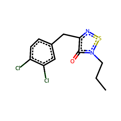 CCCn1snc(Cc2ccc(Cl)c(Cl)c2)c1=O